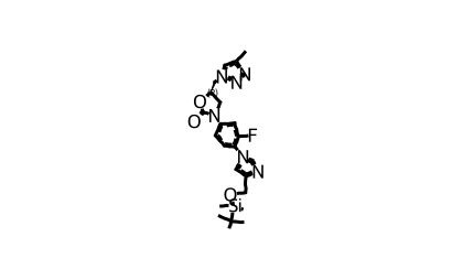 Cc1cn(C[C@H]2CN(c3ccc(-n4cnc(CO[Si](C)(C)C(C)(C)C)c4)c(F)c3)C(=O)O2)nn1